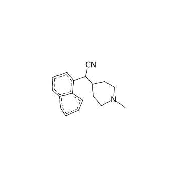 CN1CCC(C(C#N)c2cccc3ccccc23)CC1